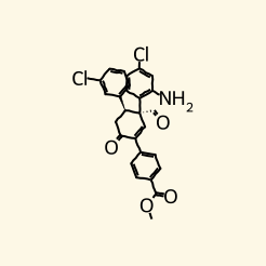 COC(=O)c1ccc(C2=C[C@](C=O)(c3ccc(Cl)cc3N)[C@H](c3cccc(Cl)c3)CC2=O)cc1